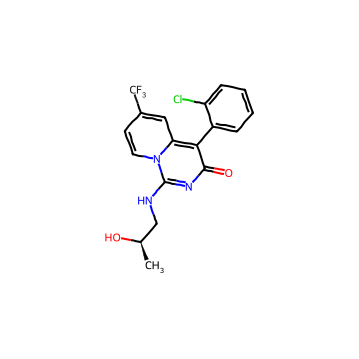 C[C@@H](O)CNc1nc(=O)c(-c2ccccc2Cl)c2cc(C(F)(F)F)ccn12